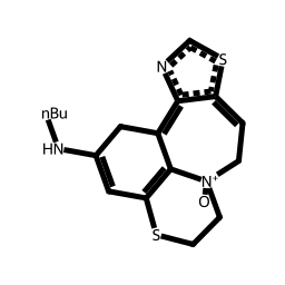 CCCCNC1=CC2=C3C(=c4ncsc4=CC[N+]3([O-])CCS2)C1